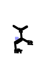 CCC/C=C(\CC)N(C)C